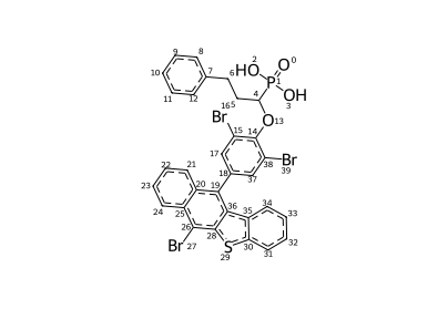 O=P(O)(O)C(CCc1ccccc1)Oc1c(Br)cc(-c2c3ccccc3c(Br)c3sc4ccccc4c23)cc1Br